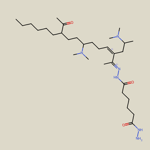 CCCCCCC(CCC(CC/C=C(CC(C)N(C)C)\C(C)=N\NC(=O)CCCCC(=O)NN)N(C)C)C(C)=O